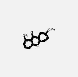 COc1ccc2nc3cccc([N+](=O)[O-])c3c(Cl)c2c1